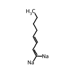 CCCCC=CC=[C]([Na])[Na]